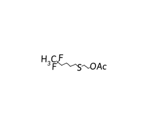 CC(=O)OCCSCCCCC(C)(F)F